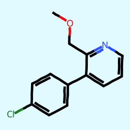 COCc1ncccc1-c1ccc(Cl)cc1